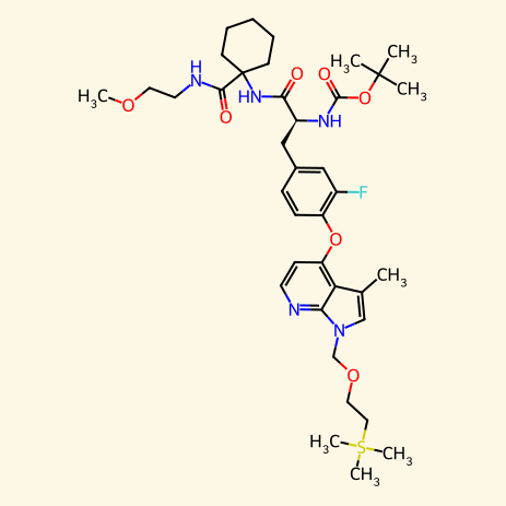 COCCNC(=O)C1(NC(=O)[C@H](Cc2ccc(Oc3ccnc4c3c(C)cn4COCCS(C)(C)C)c(F)c2)NC(=O)OC(C)(C)C)CCCCC1